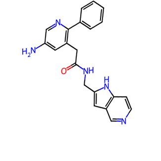 Nc1cnc(-c2ccccc2)c(CC(=O)NCc2cc3cnccc3[nH]2)c1